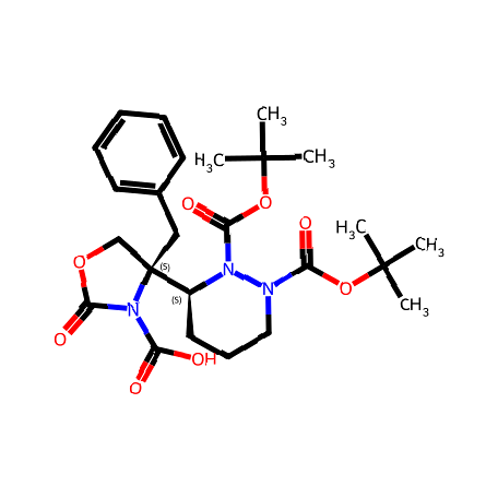 CC(C)(C)OC(=O)N1CCC[C@@H]([C@@]2(Cc3ccccc3)COC(=O)N2C(=O)O)N1C(=O)OC(C)(C)C